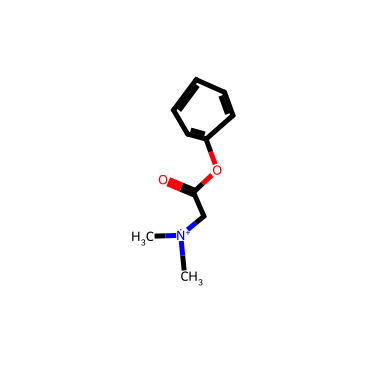 C[N+](C)CC(=O)Oc1ccccc1